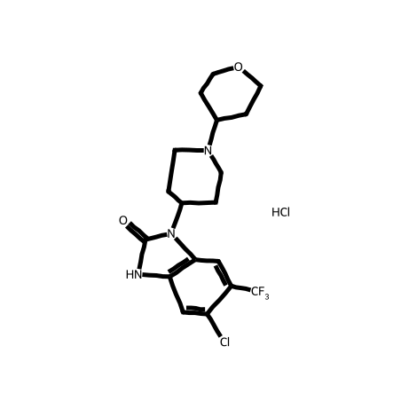 Cl.O=c1[nH]c2cc(Cl)c(C(F)(F)F)cc2n1C1CCN(C2CCOCC2)CC1